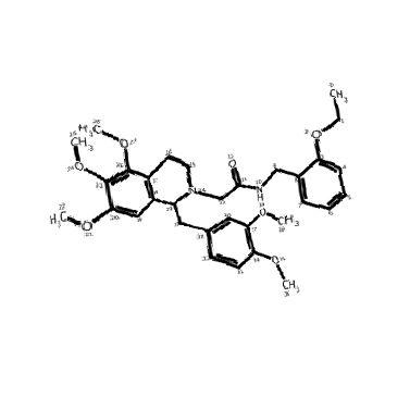 CCOc1ccccc1CNC(=O)CN1CCc2c(cc(OC)c(OC)c2OC)C1Cc1ccc(OC)c(OC)c1